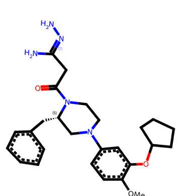 COc1ccc(N2CCN(C(=O)C/C(N)=N/N)[C@@H](Cc3ccccc3)C2)cc1OC1CCCC1